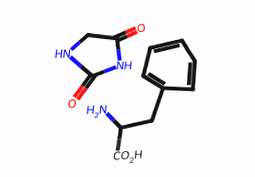 NC(Cc1ccccc1)C(=O)O.O=C1CNC(=O)N1